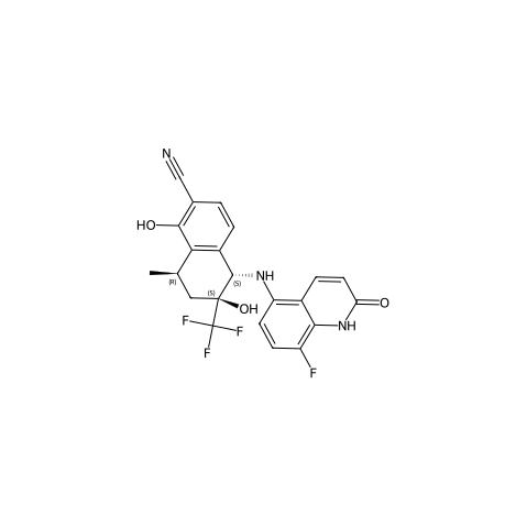 C[C@@H]1C[C@@](O)(C(F)(F)F)[C@@H](Nc2ccc(F)c3[nH]c(=O)ccc23)c2ccc(C#N)c(O)c21